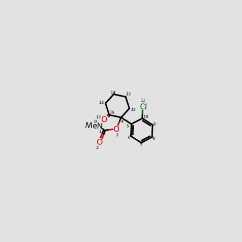 CNC(=O)OC1(c2ccccc2Cl)CCCCC1=O